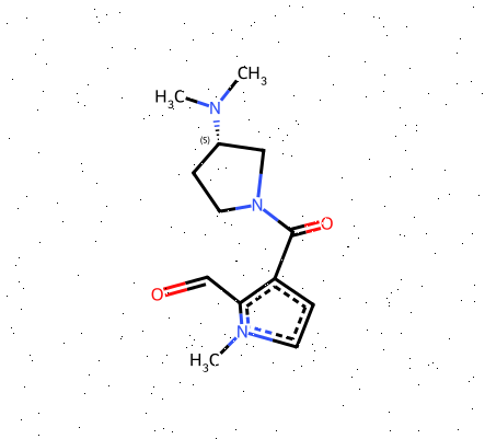 CN(C)[C@H]1CCN(C(=O)c2ccn(C)c2C=O)C1